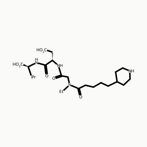 CCN(CC(=O)N[C@@H](CC(=O)O)C(=O)N[C@H](C(=O)O)C(C)C)C(=O)CCCCC1CCNCC1